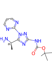 C[C@@H](N)c1nc(NC(=O)OC(C)(C)C)nn1-c1ncccn1